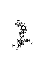 Nc1ncc(N2CCN(c3cccc(C4CCOC4)c3)CC2)c(N)n1